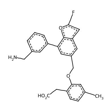 Cc1ccc(CC(=O)O)c(OCc2cc(-c3cccc(CN)c3)c3oc(F)cc3c2)c1